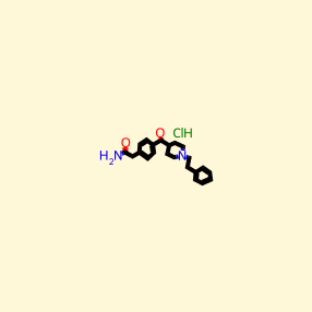 Cl.NC(=O)Cc1ccc(C(=O)C2CCN(CCc3ccccc3)CC2)cc1